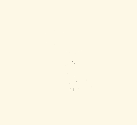 CCCC(=N)C1(c2ccccc2)CCN(C(=O)OCc2ccccc2)CC1